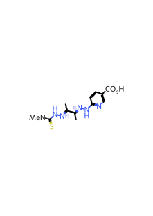 CNC(=S)N/N=C(C)/C(C)=N/Nc1ccc(C(=O)O)cn1